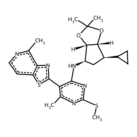 CSc1nc(C)c(-c2nc3c(C)nccc3s2)c(N[C@@H]2C[C@H](C3CC3)[C@H]3OC(C)(C)O[C@H]32)n1